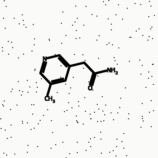 Cc1cncc(CC(N)=O)c1